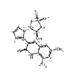 Cc1cc(C)c2[nH]c(=O)c(-c3nccn3[C@@H]3CS(=O)(=O)C[C@H]3O)cc2c1